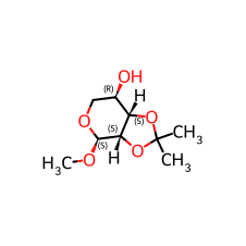 CO[C@H]1OC[C@@H](O)[C@@H]2OC(C)(C)O[C@H]12